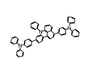 c1ccc(N(c2ccccc2)c2ccc(-c3ccc4c(c3)N(c3ccccc3)c3cccc5c(-c6ccc(N(c7ccccc7)c7ccccc7)cc6)ccc-4c35)cc2)cc1